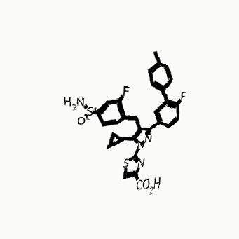 Cc1ccc(-c2cc(-c3nn(-c4nc(C(=O)O)cs4)c(C4CC4)c3Cc3ccc([S+](N)[O-])cc3F)ccc2F)cc1